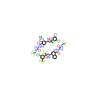 Cc1cc(C2=NOC(c3cc(Cl)cc(Cl)c3)(C(F)(F)F)C2)ccc1C(=O)NCC(=O)NCC(F)(F)F.O=C(CNC(=O)c1ccc(C2=NOC(c3cc(Cl)cc(C(F)(F)F)c3)(C(F)(F)F)C2)c2ccccc12)NCC(F)(F)F